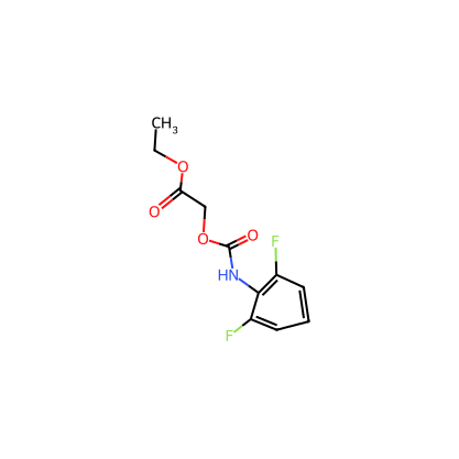 CCOC(=O)COC(=O)Nc1c(F)cccc1F